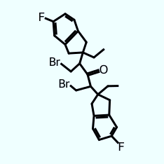 CCC1(C(CBr)C(=O)C(CBr)C2(CC)Cc3ccc(F)cc3C2)Cc2ccc(F)cc2C1